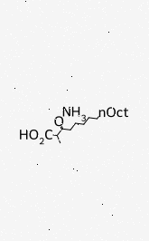 CCCCCCCCCCCCCC(=O)C(C)C(=O)O.N